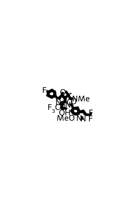 CNC(=O)[C@@]1(C)COc2c1cc([C@@](O)(CNC(=O)c1cc(OC)c3nnc(C(F)F)cc3c1)C(F)(F)F)nc2-c1ccc(F)cc1